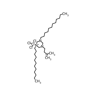 CCCCCCCCCCCCN1CN(CCN(C)C)C[N+](CCCCCCCCCCCC)([Cr]([Cl])([Cl])[Cl])C1